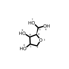 OC1CO[C@H](C(O)O)C1O